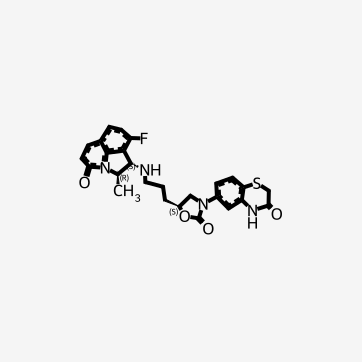 C[C@@H]1[C@@H](NCCC[C@H]2CN(c3ccc4c(c3)NC(=O)CS4)C(=O)O2)c2c(F)ccc3ccc(=O)n1c23